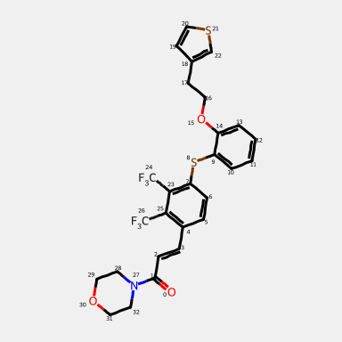 O=C(C=Cc1ccc(Sc2ccccc2OCCc2ccsc2)c(C(F)(F)F)c1C(F)(F)F)N1CCOCC1